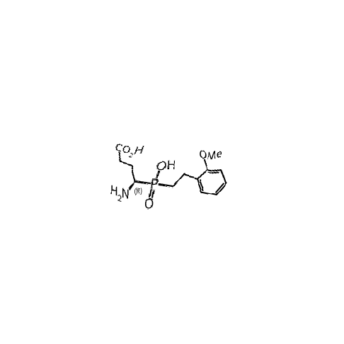 COc1ccccc1CCP(=O)(O)[C@@H](N)CCC(=O)O